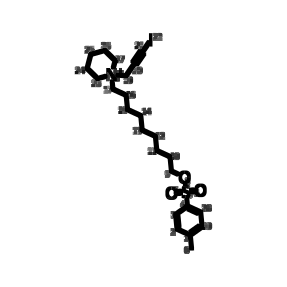 Cc1ccc(S(=O)(=O)OCCCCCCCCC[N+]2(CC#CI)CCCCC2)cc1